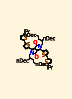 CCCCCCCCCCCCC(CCCCCCCCCC)CN1C(=O)C2=C(c3ccc(-c4ccc(C(C)C)s4)s3)N(CC(CCCCCCCCCC)CCCCCCCCCCCC)C(=O)C2=C1c1ccc(-c2ccc(C(C)C)s2)s1